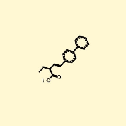 CCC(/C=C/c1ccc(-c2ccccc2)cc1)C(=O)O